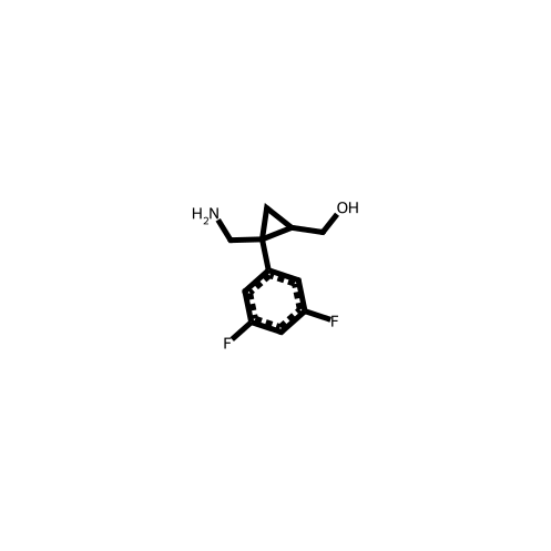 NCC1(c2cc(F)cc(F)c2)CC1CO